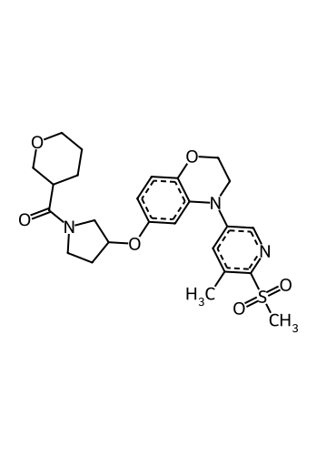 Cc1cc(N2CCOc3ccc(OC4CCN(C(=O)C5CCCOC5)C4)cc32)cnc1S(C)(=O)=O